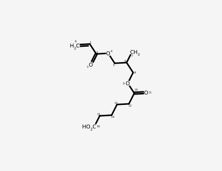 C=CC(=O)OCC(C)COC(=O)CCCCC(=O)O